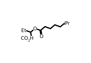 CCC(OC(=O)CCCCC(C)C)C(=O)O